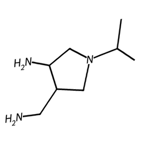 CC(C)N1CC(N)C(CN)C1